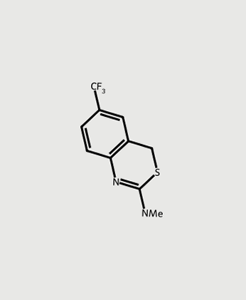 CNC1=Nc2ccc(C(F)(F)F)cc2CS1